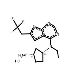 CCN(c1ncnc2sc(CC(F)(F)F)cc12)[C@@H]1CC[C@H](N)C1.Cl